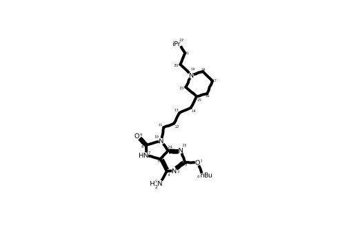 CCCCOc1nc(N)c2[nH]c(=O)n(CCCCC3CCCN(CCC(C)C)C3)c2n1